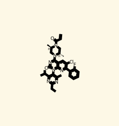 C=CC(=O)N1C[C@H](C)N(c2nc(=O)n(-c3c(C)nc(CC)nc3C(C)C)c3nc(-c4ccccc4F)c(Cl)cc23)C[C@H]1C